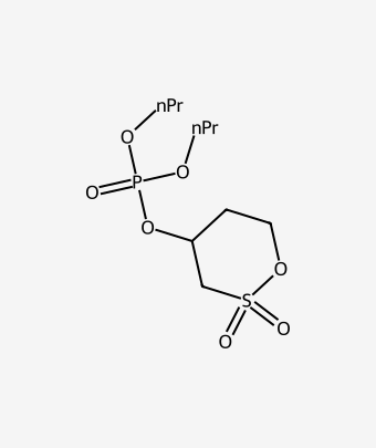 CCCOP(=O)(OCCC)OC1CCOS(=O)(=O)C1